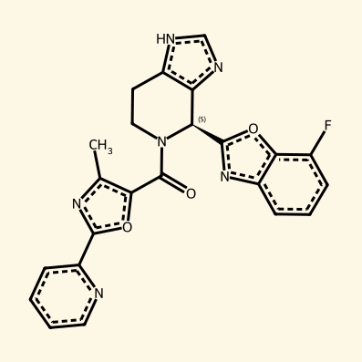 Cc1nc(-c2ccccn2)oc1C(=O)N1CCc2[nH]cnc2[C@H]1c1nc2cccc(F)c2o1